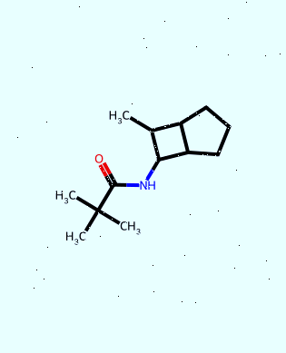 CC1C2CCCC2C1NC(=O)C(C)(C)C